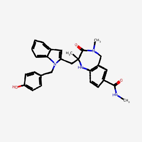 CNC(=O)c1ccc2c(c1)CN(C)C(=O)C(C)(Cc1cc3ccccc3n1Cc1ccc(O)cc1)N2